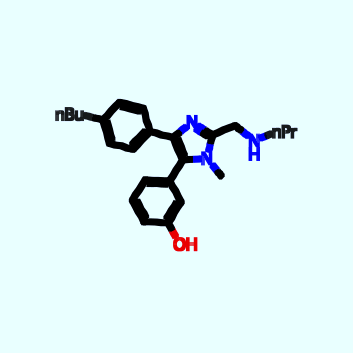 CCCCc1ccc(-c2nc(CNCCC)n(C)c2-c2cccc(O)c2)cc1